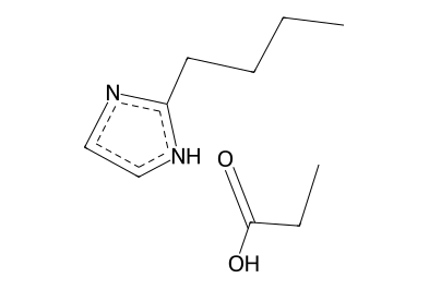 CCC(=O)O.CCCCc1ncc[nH]1